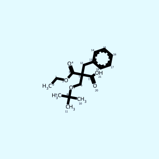 CCOC(=O)C(COC(C)(C)C)(Cc1ccccc1)C(=O)O